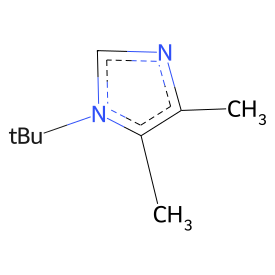 Cc1ncn(C(C)(C)C)c1C